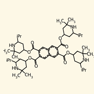 CC(C)C1CC(OC(=O)c2cc3cc(C(=O)OC4CC(C(C)C)NC(C)(C)C4)c(C(=O)OC4CC(C(C)C)NC(C)(C)C4)cc3cc2C(=O)OC2CC(C(C)C)NC(C)(C)C2)CC(C)(C)N1